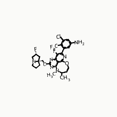 CC1CCOc2nc(-c3cc(N)cc(Cl)c3C(F)(F)F)c(F)c3nc(OC[C@@]45CCCN4C[C@H](F)C5)nc(c23)N1C